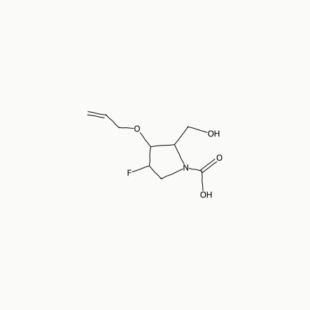 C=CCOC1C(F)CN(C(=O)O)C1CO